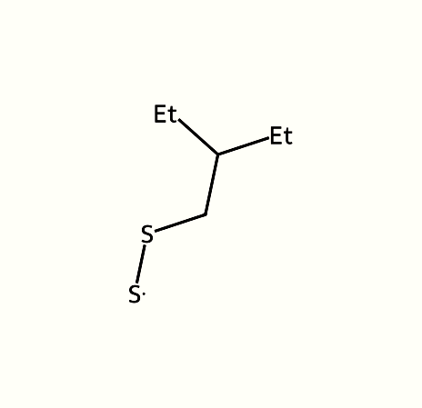 CCC(CC)CS[S]